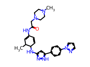 CC1C=C(NC(=O)CN2CCN(C)CC2)C=CC1Nc1cc(-c2ccc(-n3cccn3)cc2)[nH]n1